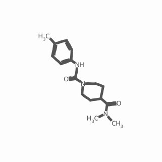 Cc1ccc(NC(=O)N2CCC(C(=O)N(C)C)CC2)cc1